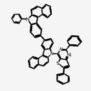 c1ccc(-c2nc(-n3c4ccc(-c5ccc6c(c5)c5c7ccccc7ccc5n6-c5ccccc5)cc4c4c5ccccc5ccc43)c3sc(-c4ccccc4)cc3n2)cc1